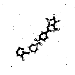 CC1C(=O)N(C)c2cc(-c3ccc(S(=O)(=O)N4CCN(Cc5ccccc5Br)CC4)cc3)[nH]c(=O)c21